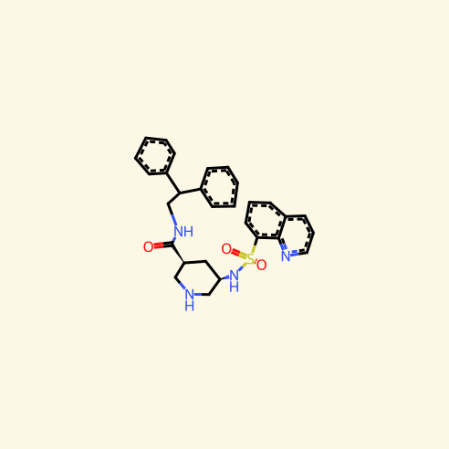 O=C(NCC(c1ccccc1)c1ccccc1)[C@@H]1CNC[C@H](NS(=O)(=O)c2cccc3cccnc23)C1